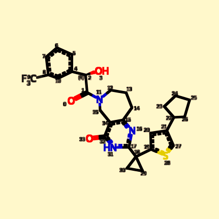 O=C([C@H](O)c1cccc(C(F)(F)F)c1)N1CCCc2nc(C3(c4cc(C5CCCC5)cs4)CC3)[nH]c(=O)c2C1